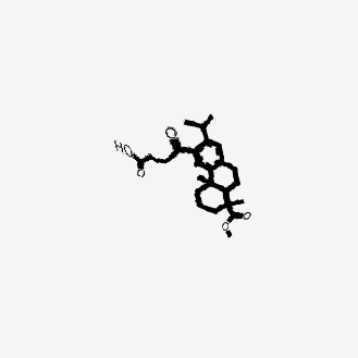 COC(=O)C1(C)CCCC2(C)c3cc(C(=O)CCC(=O)O)c(C(C)C)cc3CCC12